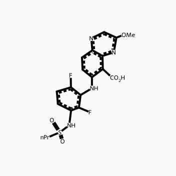 CCCS(=O)(=O)Nc1ccc(F)c(Nc2ccc3ncc(OC)nc3c2C(=O)O)c1F